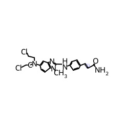 Cn1c(CNc2ccc(/C=C/C(N)=O)cc2)nc2cc(N(CCCl)CCCl)ccc21